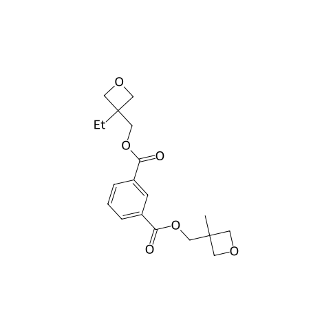 CCC1(COC(=O)c2cccc(C(=O)OCC3(C)COC3)c2)COC1